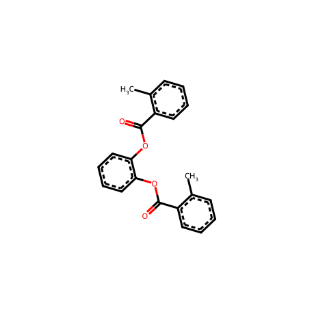 Cc1ccccc1C(=O)Oc1ccccc1OC(=O)c1ccccc1C